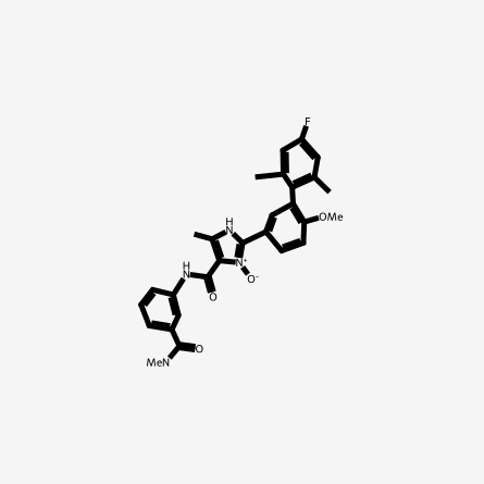 CNC(=O)c1cccc(NC(=O)c2c(C)[nH]c(-c3ccc(OC)c(-c4c(C)cc(F)cc4C)c3)[n+]2[O-])c1